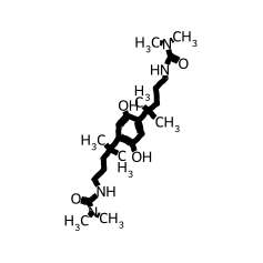 CN(C)C(=O)NCCCC(C)(C)c1cc(O)c(C(C)(C)CCCNC(=O)N(C)C)cc1O